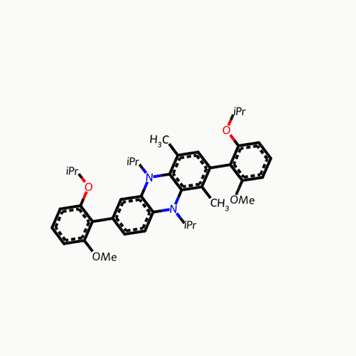 COc1cccc(OC(C)C)c1-c1ccc2c(c1)N(C(C)C)c1c(C)cc(-c3c(OC)cccc3OC(C)C)c(C)c1N2C(C)C